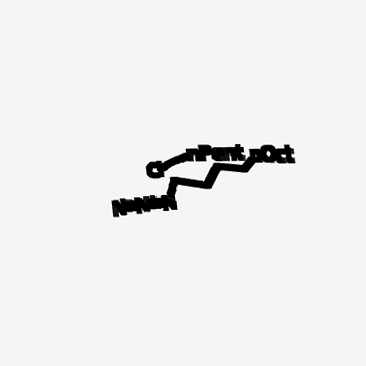 CCCCCCCCCCCCN=[N+]=[N-].CCCCCCl